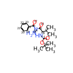 CC(C)[C@H](NC(=O)OC(C)(C)C)C(=O)N(N)C(=O)c1ccccc1